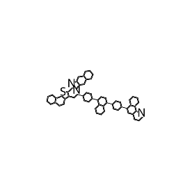 c1ccc2cc3c(cc2c1)nc1c2sc4c5ccccc5ccc4c2cc(-c2ccc(-c4ccc(-c5ccc(-c6cc7cccnc7c7ccccc67)cc5)c5ccccc45)cc2)n31